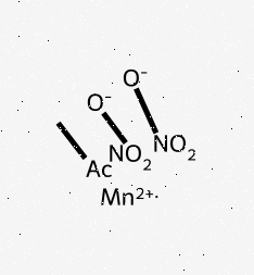 CC(C)=O.O=[N+]([O-])[O-].O=[N+]([O-])[O-].[Mn+2]